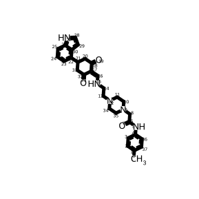 Cc1ccc(NC(=O)CN2CCN(CCNC=C3C(=O)CC(c4cccc5[nH]ccc45)CC3=O)CC2)cc1